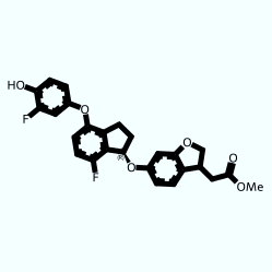 COC(=O)CC1COc2cc(O[C@@H]3CCc4c(Oc5ccc(O)c(F)c5)ccc(F)c43)ccc21